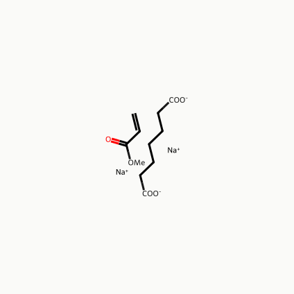 C=CC(=O)OC.O=C([O-])CCCCCC(=O)[O-].[Na+].[Na+]